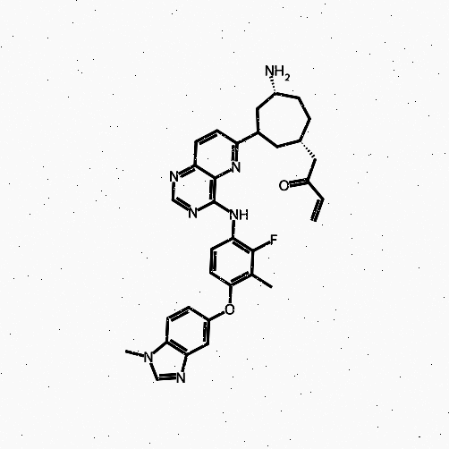 C=CC(=O)C[C@H]1CC[C@@H](N)CC(c2ccc3ncnc(Nc4ccc(Oc5ccc6c(c5)ncn6C)c(C)c4F)c3n2)C1